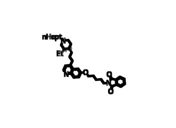 CCCCCCCN1CC[C@@H](CCCc2ccnc3ccc(OCCCCCN4C(=O)c5ccccc5C4=O)cc23)[C@@H](CC)C1